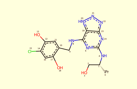 CC(C)[C@H](CO)Nc1nc(NCc2cc(O)c(Cl)cc2O)c2[nH]nnc2n1